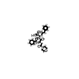 O=C(N[C@H](CC(=O)N1CCOCC1)C(=O)N[C@@H](CCCc1ccccc1)B(O)O)C1CCCCC1